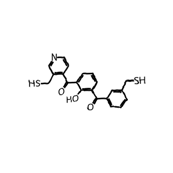 O=C(c1cccc(CS)c1)c1cccc(C(=O)c2ccncc2CS)c1O